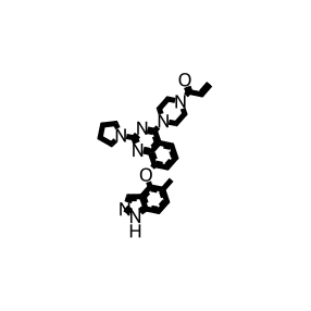 C=CC(=O)N1CCN(c2nc(N3CCCC3)nc3c(Oc4c(C)ccc5[nH]ncc45)cccc23)CC1